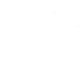 Cc1cc(C(=O)C2C(=O)CCCC2=O)c(C)c2c1S(=O)(=O)CCC21OCCO1.[NaH]